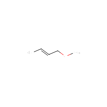 CC(C)(C)C=CCOC(C)(C)C